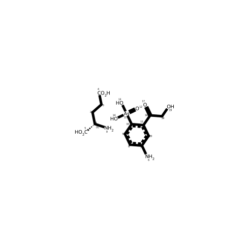 N[C@@H](CCC(=O)O)C(=O)O.Nc1ccc([As](=O)(O)O)c(C(=O)CO)c1